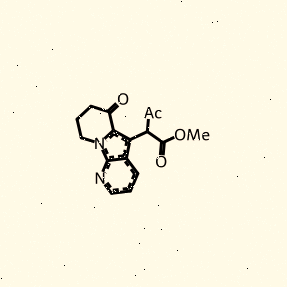 COC(=O)C(C(C)=O)c1c2n(c3ncccc13)CCCC2=O